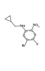 O=[N+]([O-])c1cc(F)c(Br)cc1NCC1CC1